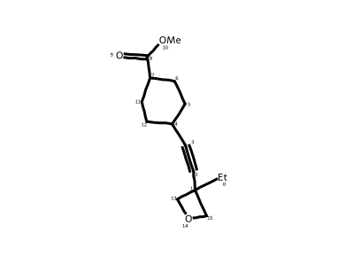 CCC1(C#CC2CCC(C(=O)OC)CC2)COC1